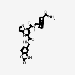 NC(=O)C12C3C4C1C21CC4(CNC(=O)c2cc(C(=O)NCc4ccc5oc(=O)[nH]c5c4)nc4ccnn24)C31